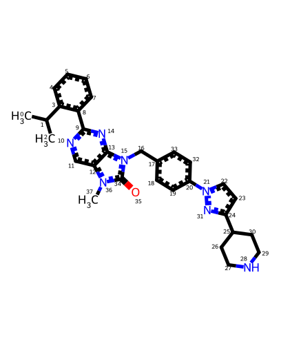 CC(C)c1ccccc1-c1ncc2c(n1)n(Cc1ccc(-n3ccc(C4CCNCC4)n3)cc1)c(=O)n2C